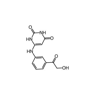 O=C(CO)c1cccc(Nc2cc(=O)[nH]c(=O)[nH]2)c1